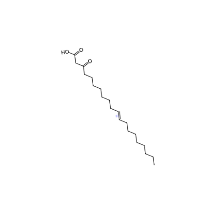 CCCCCCCC/C=C/CCCCCCCC(=O)CC(=O)O